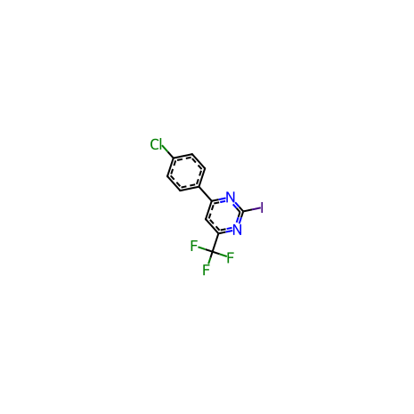 FC(F)(F)c1cc(-c2ccc(Cl)cc2)nc(I)n1